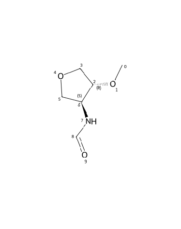 CO[C@H]1COC[C@@H]1NC=O